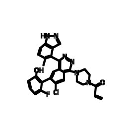 C=CC(=O)N1CCN(c2nnc(-c3c(C)ccc4[nH]ncc34)c3cc(-c4c(O)cccc4F)c(Cl)cc23)CC1